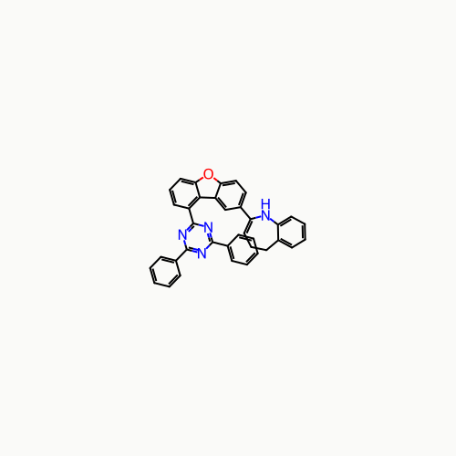 C1=C(c2ccc3oc4cccc(-c5nc(-c6ccccc6)nc(-c6ccccc6)n5)c4c3c2)Nc2ccccc2CC1